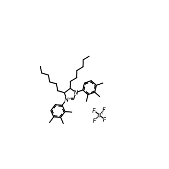 CCCCCCC1C(CCCCCC)[N+](c2ccc(C)c(C)c2C)=CN1c1ccc(C)c(C)c1C.F[B-](F)(F)F